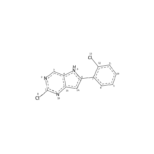 Clc1ncc2[nH]c(-c3ccccc3Cl)cc2n1